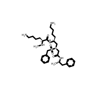 CN[C@@H](CCCCN)C(=O)N[C@@H](CCCCN)CN(CC(=O)N[C@H](C)Cc1ccccc1)S(=O)(=O)Cc1ccccc1